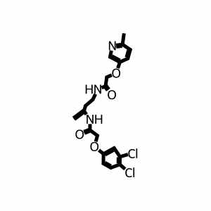 C=C(CCNC(=O)COc1ccc(C)nc1)NC(=O)COc1ccc(Cl)c(Cl)c1